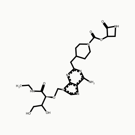 CCNC(=O)[C@@H](OCn1cnc2c(N)nc(CC3CCN(C(=O)OC4CNC4=O)CC3)nc21)C(O)CO